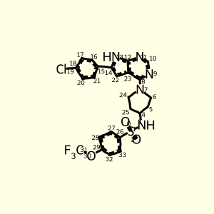 O=S(=O)(NC1CCN(c2ncnc3[nH]c(-c4ccc(Cl)cc4)cc23)CC1)c1ccc(OC(F)(F)F)cc1